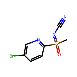 CS(=O)(=NC#N)c1ccc(Br)cn1